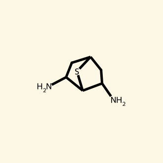 NC1CC2CC(N)C1S2